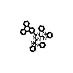 c1ccc(-n2c(-c3nc(-c4ccc5c6ccccc6c6ccccc6c5c4)nc(-c4nc5ccccc5n4-c4ccccc4)n3)nc3ccccc32)cc1